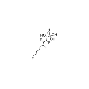 OC(C(F)C(F)C(F)CCCCCF)C(O)(O)O